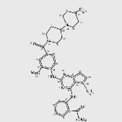 COC(=O)c1ccccc1Nc1nc(Nc2ccc(C(=O)N3CCC(N4CCN(C)CC4)CC3)cc2OC)nc2ccn(C)c12